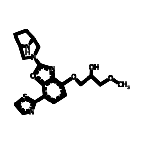 COCC(O)COc1ccc(-c2nccs2)c2oc(N3CC4CCC(C3)N4)nc12